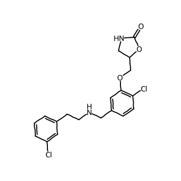 O=C1NCC(COc2cc(CNCCc3cccc(Cl)c3)ccc2Cl)O1